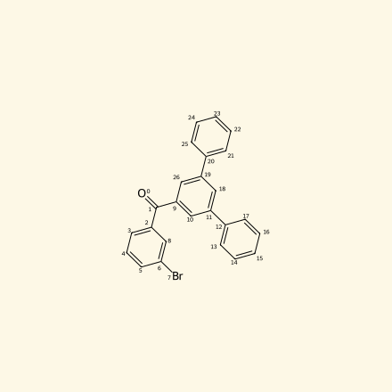 O=C(c1cccc(Br)c1)c1cc(-c2ccccc2)cc(-c2ccccc2)c1